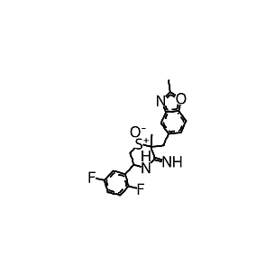 Cc1nc2cc(CC3(C)C(=N)NC(c4cc(F)ccc4F)C[S+]3[O-])ccc2o1